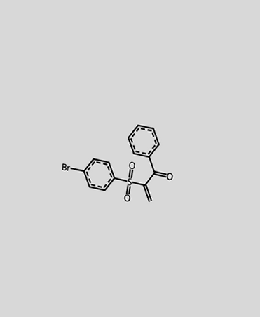 C=C(C(=O)c1ccccc1)S(=O)(=O)c1ccc(Br)cc1